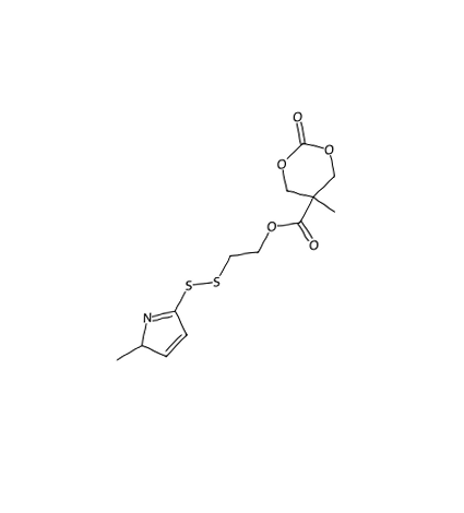 CC1C=CC(SSCCOC(=O)C2(C)COC(=O)OC2)=N1